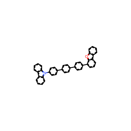 c1ccc2c(c1)oc1c(-c3ccc(-c4ccc(-c5ccc(-n6c7ccccc7c7ccccc76)cc5)cc4)cc3)cccc12